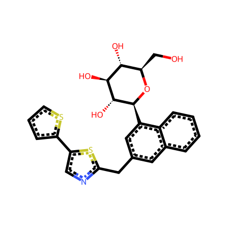 OC[C@H]1O[C@@H](c2cc(Cc3ncc(-c4cccs4)s3)cc3ccccc23)[C@H](O)[C@@H](O)[C@@H]1O